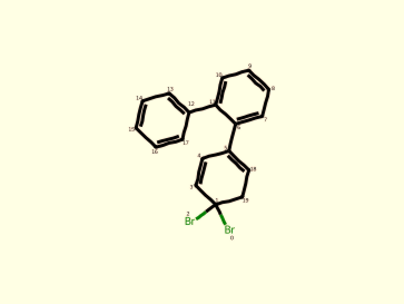 BrC1(Br)C=CC(c2ccccc2-c2ccccc2)=CC1